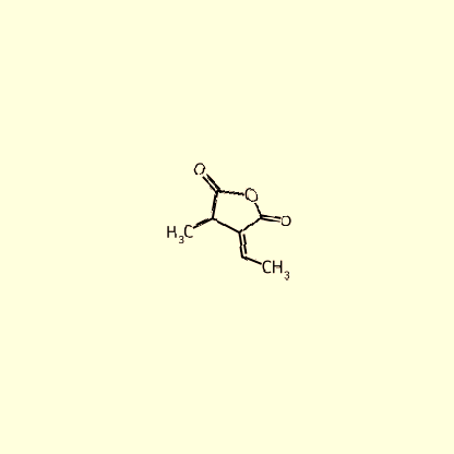 CC=C1C(=O)OC(=O)C1C